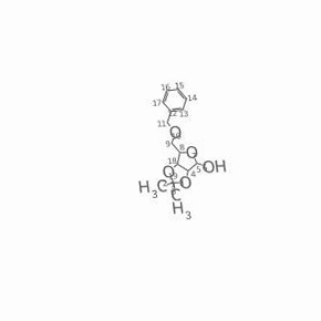 CC1(C)OC2C(O)OC(COCc3ccccc3)C2O1